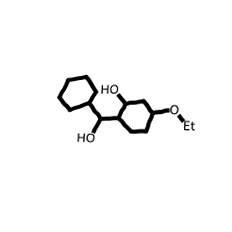 CCOC1CCC(C(O)C2CCCCC2)C(O)C1